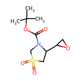 CC(C)(C)OC(=O)N1CS(=O)(=O)CC1C1CO1